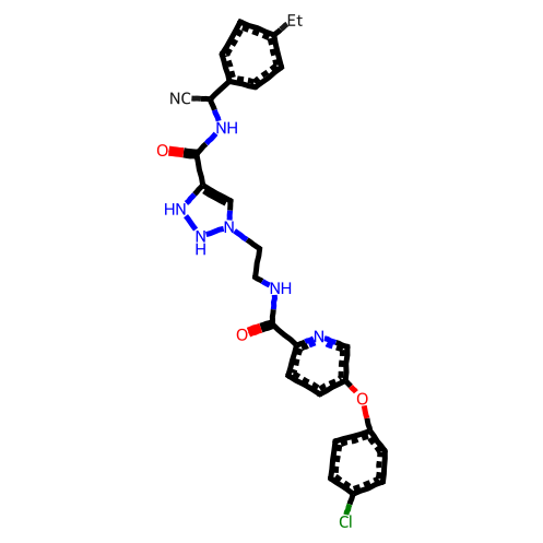 CCc1ccc(C(C#N)NC(=O)C2=CN(CCNC(=O)c3ccc(Oc4ccc(Cl)cc4)cn3)NN2)cc1